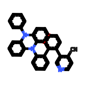 N#Cc1ccncc1-c1ccccc1-c1ccccc1N1c2ccccc2N(c2ccccc2)c2ccccc21